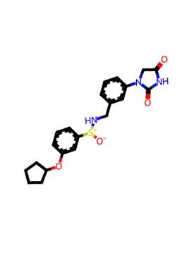 O=C1CN(c2cccc(CN[S+]([O-])c3cccc(OC4CCCC4)c3)c2)C(=O)N1